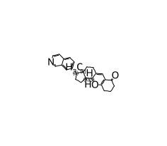 C[C@]12CCC3=CC4=C(CCCC4=O)O[C@H]3[C@@H]1CC[C@@H]2c1ccc2ccncc2c1